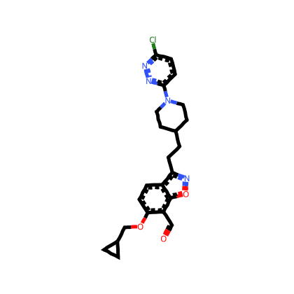 O=Cc1c(OCC2CC2)ccc2c(CCC3CCN(c4ccc(Cl)nn4)CC3)noc12